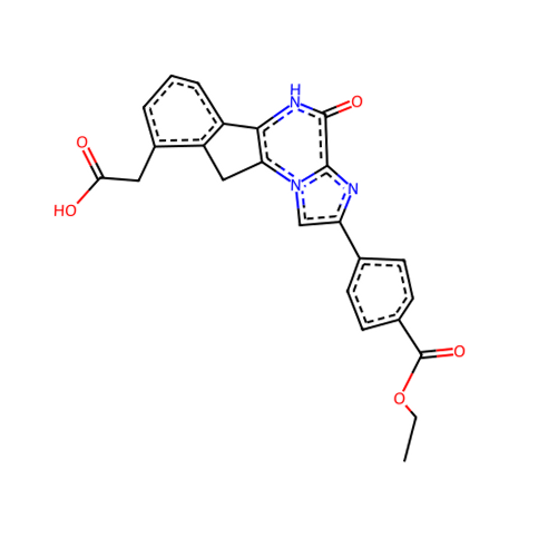 CCOC(=O)c1ccc(-c2cn3c4c([nH]c(=O)c3n2)-c2cccc(CC(=O)O)c2C4)cc1